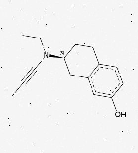 CC#CN(CC)[C@H]1CCc2ccc(O)cc2C1